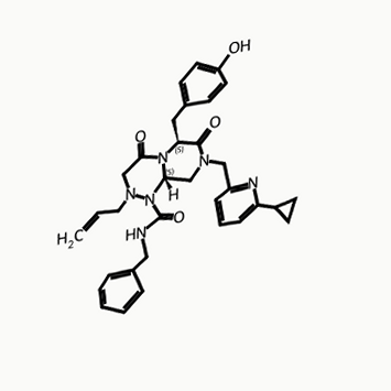 C=CCN1CC(=O)N2[C@@H](Cc3ccc(O)cc3)C(=O)N(Cc3cccc(C4CC4)n3)C[C@@H]2N1C(=O)NCc1ccccc1